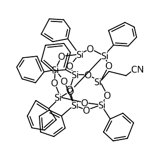 N#CCC[Si]12O[Si]3(c4ccccc4)O[Si]4(c5ccccc5)O[Si](c5ccccc5)(O1)O[Si]1(c5ccccc5)O[Si](c5ccccc5)(O2)O[Si](c2ccccc2)(O3)O[Si](c2ccccc2)(O4)O1